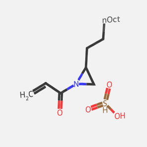 C=CC(=O)N1CC1CCCCCCCCCC.O=[SH](=O)O